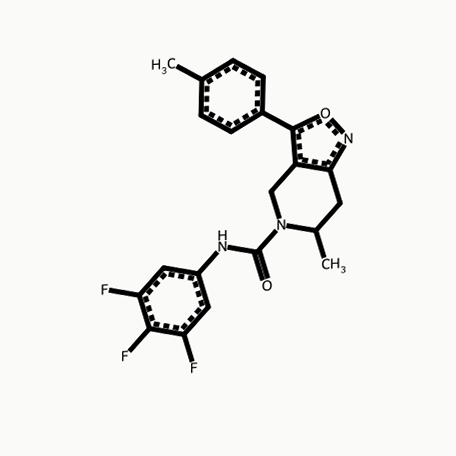 Cc1ccc(-c2onc3c2CN(C(=O)Nc2cc(F)c(F)c(F)c2)C(C)C3)cc1